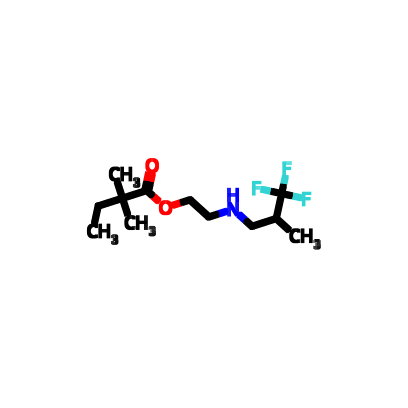 CCC(C)(C)C(=O)OCCNCC(C)C(F)(F)F